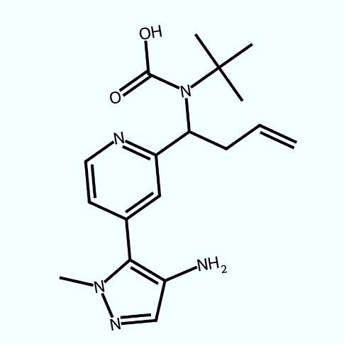 C=CCC(c1cc(-c2c(N)cnn2C)ccn1)N(C(=O)O)C(C)(C)C